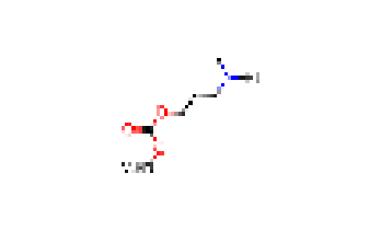 CCN(C)CCCOC(=O)ONC